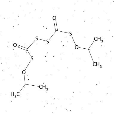 CC(C)OSC(=O)SSC(=O)SOC(C)C